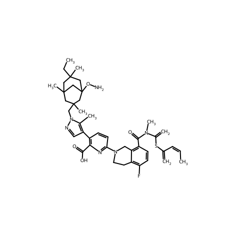 C=C(/C=C\C)SC(=C)N(C)C(=O)c1ccc(F)c2c1CN(c1ccc(-c3cnn(CC4(C)CC5(C)CC(C)(CC)CC(ON)(C4)C5)c3C)c(C(=O)O)n1)CC2